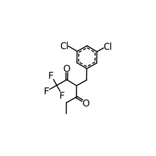 CCC(=O)C(Cc1cc(Cl)cc(Cl)c1)C(=O)C(F)(F)F